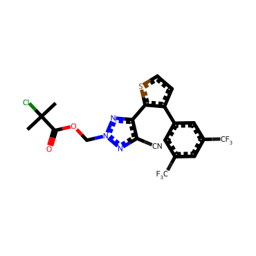 CC(C)(Cl)C(=O)OCn1nc(C#N)c(-c2sccc2-c2cc(C(F)(F)F)cc(C(F)(F)F)c2)n1